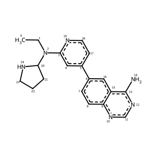 CCN(c1cc(-c2ccc3ncnc(N)c3c2)ccn1)C1CCCN1